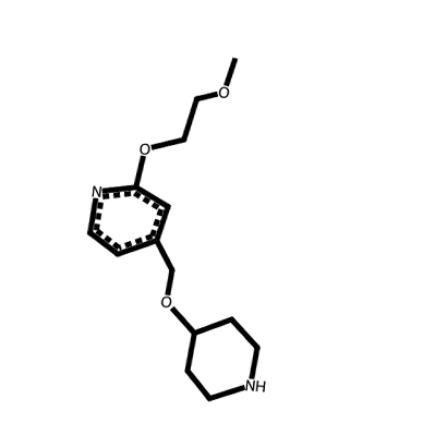 COCCOc1cc(COC2CCNCC2)ccn1